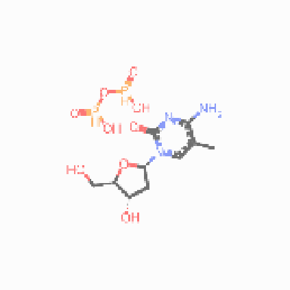 Cc1cn([C@H]2C[C@H](O)[C@@H](CO)O2)c(=O)nc1N.O=[PH](O)O[PH](=O)O